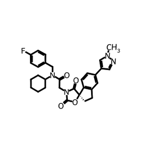 Cn1cc(-c2ccc3c(c2)CC[C@@]32OC(=O)N(CC(=O)N(Cc3ccc(F)cc3)C3CCCCC3)C2=O)cn1